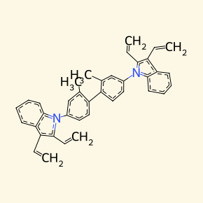 C=Cc1c(C=C)n(-c2ccc(-c3ccc(-n4c(C=C)c(C=C)c5ccccc54)cc3C)c(C)c2)c2ccccc12